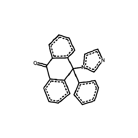 O=C1c2ccccc2C(c2ccccc2)(n2ccnc2)c2ccccc21